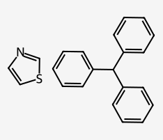 c1ccc(C(c2ccccc2)c2ccccc2)cc1.c1cscn1